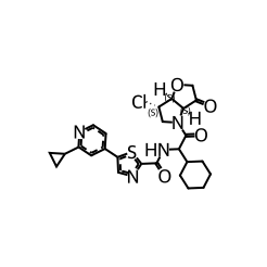 O=C(NC(C(=O)N1C[C@H](Cl)[C@H]2OCC(=O)[C@H]21)C1CCCCC1)c1ncc(-c2ccnc(C3CC3)c2)s1